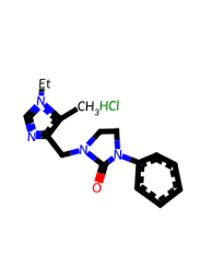 CCn1cnc(CN2CCN(c3ccccc3)C2=O)c1C.Cl